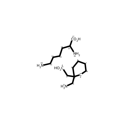 NCC1(CC(=O)O)CCCCC1.NCCCCC(N)C(=O)O